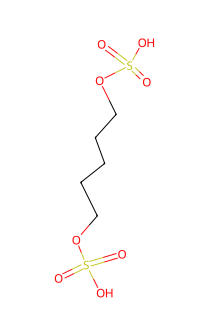 O=S(=O)(O)OCCCCCOS(=O)(=O)O